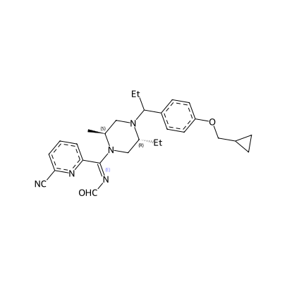 CCC(c1ccc(OCC2CC2)cc1)N1C[C@H](C)N(/C(=N/C=O)c2cccc(C#N)n2)C[C@H]1CC